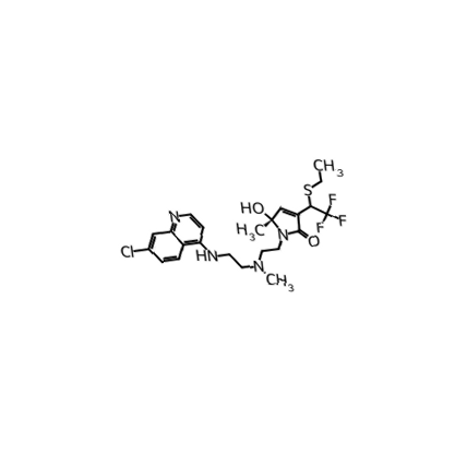 CCSC(C1=C[C@@](C)(O)N(CCN(C)CCNc2ccnc3cc(Cl)ccc23)C1=O)C(F)(F)F